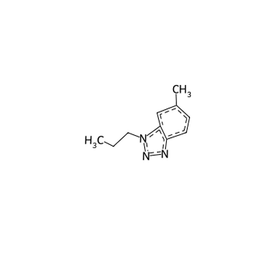 CCCn1nnc2ccc(C)cc21